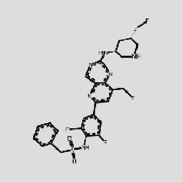 O=S(=O)(Cc1ccccc1)Nc1c(F)cc(-c2cc(CF)c3nc(N[C@@H]4CNC[C@@H](CF)C4)ncc3n2)cc1F